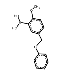 COc1ccc(COc2ccccc2)cc1B(O)O